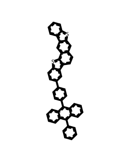 c1ccc(-c2c3ccccc3c(-c3ccc(-c4ccc5sc6c7cc8c(cc7ccc6c5c4)sc4ccccc48)cc3)c3ccccc23)cc1